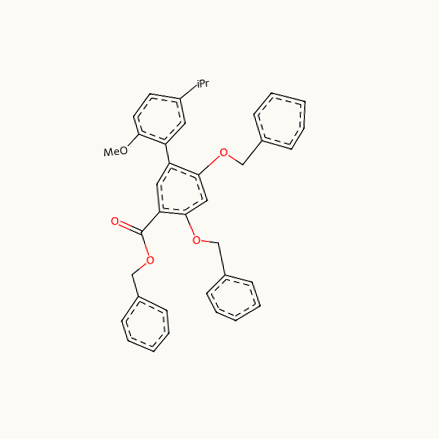 COc1ccc(C(C)C)cc1-c1cc(C(=O)OCc2ccccc2)c(OCc2ccccc2)cc1OCc1ccccc1